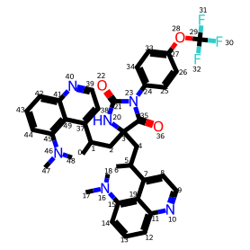 CC(CC1(CC(C)c2ccnc3cccc(N(C)C)c23)NC(=O)N(c2ccc(OC(F)(F)F)cc2)C1=O)c1ccnc2cccc(N(C)C)c12